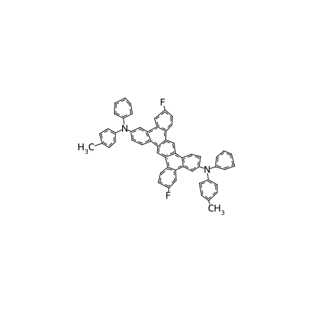 Cc1ccc(N(c2ccccc2)c2ccc3c(c2)c2cc(F)ccc2c2cc4c5ccc(N(c6ccccc6)c6ccc(C)cc6)cc5c5cc(F)ccc5c4cc32)cc1